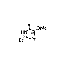 C=C(N[C@@H](CC)C(C)C)[C@H](C)OC